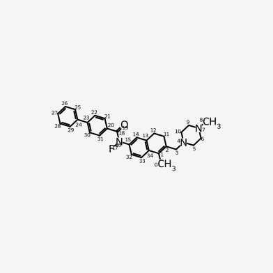 CC1=C(CN2CCN(C)CC2)CCc2cc(N(F)C(=O)c3ccc(-c4ccccc4)cc3)ccc21